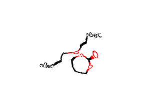 CCCCCCCCCCCCOCCCCCCCCCCCC.O=C1OCCCO1